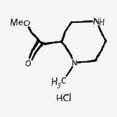 COC(=O)C1CNCCN1C.Cl